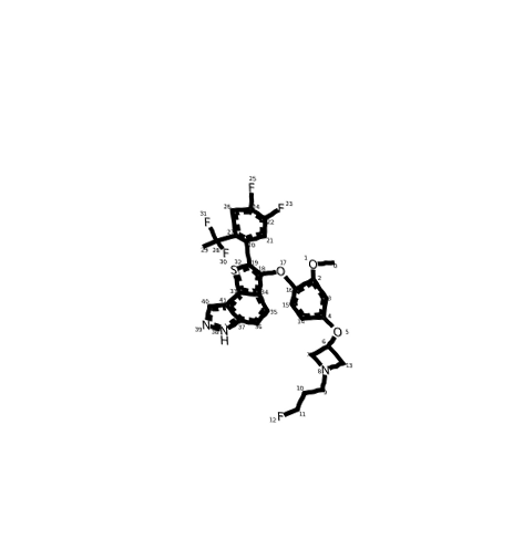 COc1cc(OC2CN(CCCF)C2)ccc1Oc1c(-c2cc(F)c(F)cc2C(C)(F)F)sc2c1ccc1[nH]ncc12